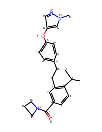 CC(C)c1ccc(C(=O)N2CCC2)cc1CCc1ccc(Oc2cnn(C)c2)cc1